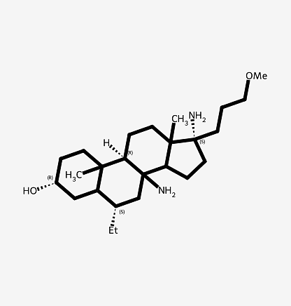 CC[C@H]1CC2(N)C3CC[C@](N)(CCCOC)C3(C)CC[C@@H]2C2(C)CC[C@@H](O)CC12